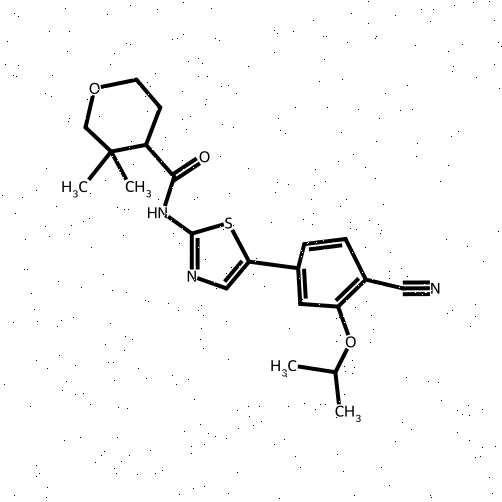 CC(C)Oc1cc(-c2cnc(NC(=O)C3CCOCC3(C)C)s2)ccc1C#N